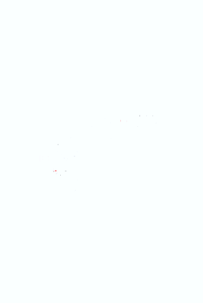 CCOC(=O)C1(C)CCc2c(C)c(-c3ccc(O)c(C45CC6CC(CC(C6)C4)C5)c3)c(C)c(C)c2O1